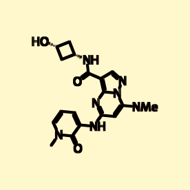 CNc1cc(Nc2cccn(C)c2=O)nc2c(C(=O)N[C@H]3C[C@@H](O)C3)cnn12